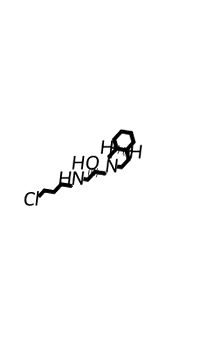 O[C@H](CNCCCCCl)CN1CC[C@@H]2CCCC[C@@H]2C1